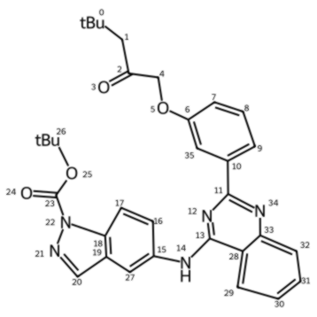 CC(C)(C)CC(=O)COc1cccc(-c2nc(Nc3ccc4c(cnn4C(=O)OC(C)(C)C)c3)c3ccccc3n2)c1